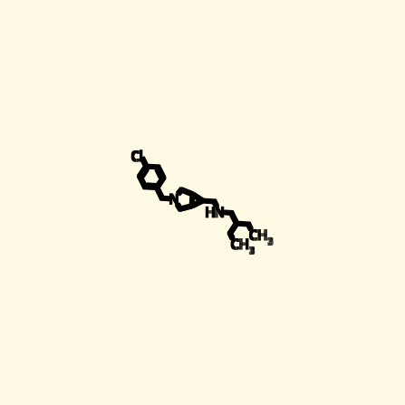 CCC(CC)CNCC1C2CN(Cc3ccc(Cl)cc3)CC12